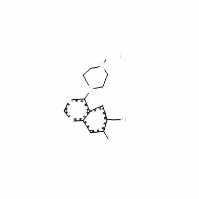 O=C(O)N1CCN(c2ncnc3cc(Cl)c([N+](=O)[O-])cc23)CC1